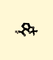 NC(=O)c1[c]ccc2c1OC(F)(F)O2